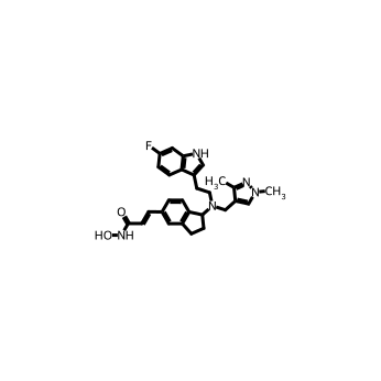 Cc1nn(C)cc1CN(CCc1c[nH]c2cc(F)ccc12)C1CCc2cc(C=CC(=O)NO)ccc21